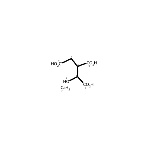 O=C(O)CC(C(=O)O)C(O)C(=O)O.[CaH2]